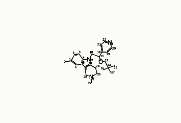 Cc1ccc2c(c1)c1c(n2CC(OCC(C)(C)C)c2ccncc2)CCN(C)C1